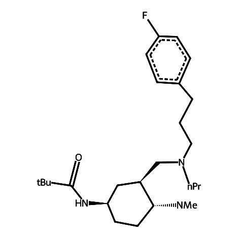 CCCN(CCCc1ccc(F)cc1)C[C@@H]1C[C@H](NC(=O)C(C)(C)C)CC[C@H]1NC